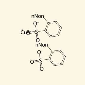 CCCCCCCCCc1ccccc1S(=O)(=O)[O-].CCCCCCCCCc1ccccc1S(=O)(=O)[O-].[Cu+2]